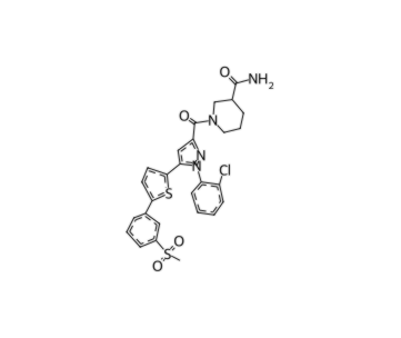 CS(=O)(=O)c1cccc(-c2ccc(-c3cc(C(=O)N4CCCC(C(N)=O)C4)nn3-c3ccccc3Cl)s2)c1